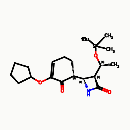 C[C@@H](O[Si](C)(C)C(C)(C)C)[C@H]1C(=O)N[C@@H]1[C@H]1CCC=C(OC2CCCC2)C1=O